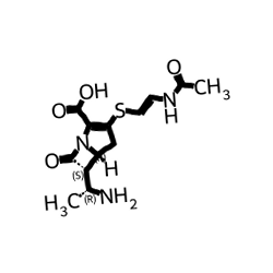 CC(=O)NC=CSC1=C(C(=O)O)N2C(=O)[C@@H]([C@@H](C)N)[C@H]2C1